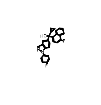 OC(c1ccc2c(cnn2-c2ccc(F)cc2)c1)(c1ccc(F)c2ccccc12)C1CC1